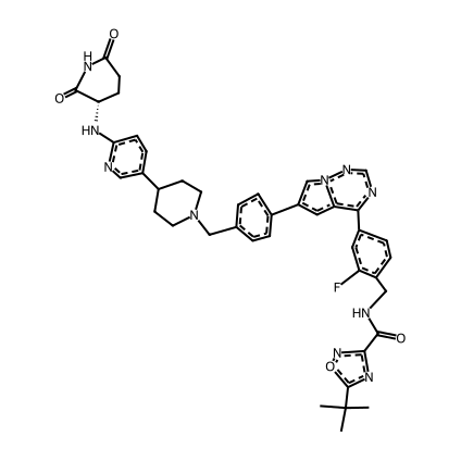 CC(C)(C)c1nc(C(=O)NCc2ccc(-c3ncnn4cc(-c5ccc(CN6CCC(c7ccc(N[C@H]8CCC(=O)NC8=O)nc7)CC6)cc5)cc34)cc2F)no1